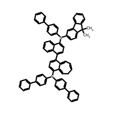 CC1(C)c2ccccc2-c2cc(N(c3ccc(-c4ccccc4)cc3)c3ccc(-c4ccc(N(c5ccc(-c6ccccc6)cc5)c5ccc(-c6ccccc6)cc5)c5c4=CC=CCC=5)c4ccccc34)ccc21